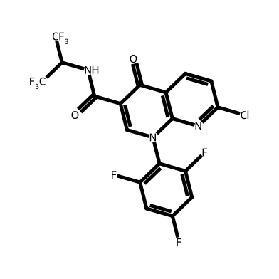 O=C(NC(C(F)(F)F)C(F)(F)F)c1cn(-c2c(F)cc(F)cc2F)c2nc(Cl)ccc2c1=O